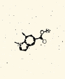 Cc1cc(C(=O)OBr)cc2ccn(C)c12